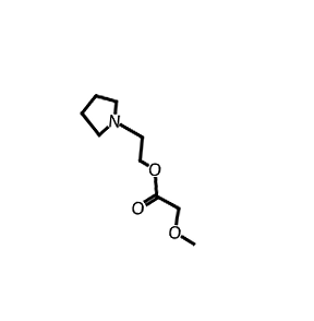 COCC(=O)OCCN1CCCC1